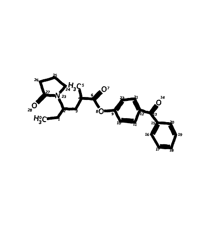 CCC(CC(C)C(=O)Oc1ccc(C(=O)c2ccccc2)cc1)N1CCCC1=O